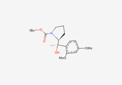 COc1ccc([C@@](C)(O)[C@@H]2CCCN2C(=O)OC(C)(C)C)c(OC)c1